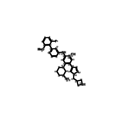 COc1cccc(F)c1-c1nccc(Nc2cc(N3CCC[C@H](N)C3)c(-c3cnn(CC4CNC4)c3)cn2)n1.Cl